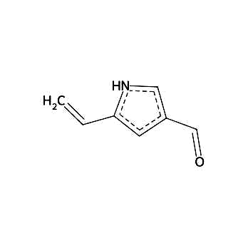 C=Cc1cc(C=O)c[nH]1